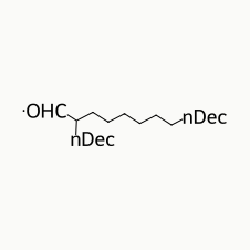 CCCCCCCCCCCCCCCCC([C]=O)CCCCCCCCCC